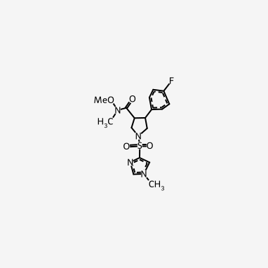 CON(C)C(=O)C1CN(S(=O)(=O)c2cn(C)cn2)CC1c1ccc(F)cc1